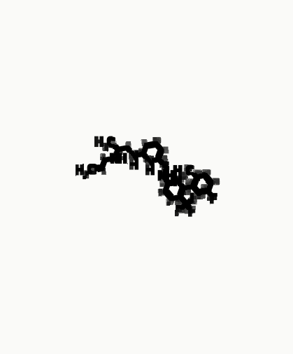 C=CCNC(C)CNC1C=CC=C(SNc2ccc(C(F)(F)F)c(-c3cc(F)ccc3C)n2)N1